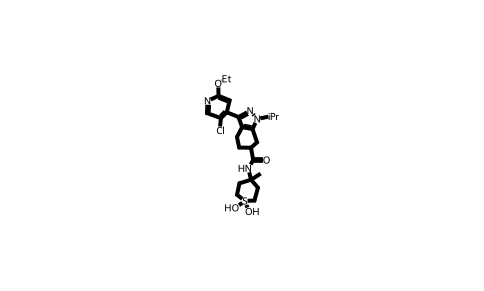 CCOc1cc(-c2nn(C(C)C)c3c2CCC(C(=O)NC2(C)CCS(O)(O)CC2)C3)c(Cl)cn1